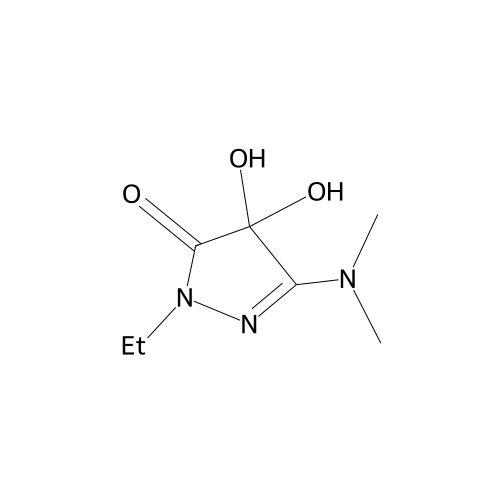 CCN1N=C(N(C)C)C(O)(O)C1=O